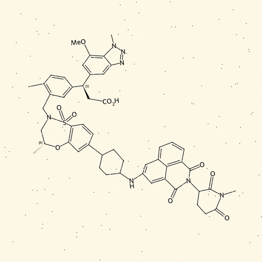 COc1cc([C@@H](CC(=O)O)c2ccc(C)c(CN3C[C@@H](C)Oc4cc(C5CCC(Nc6cc7c8c(cccc8c6)C(=O)N(C6CCC(=O)N(C)C6=O)C7=O)CC5)ccc4S3(=O)=O)c2)cc2nnn(C)c12